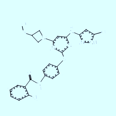 Cc1cc(Nc2cc(N3CC(OC(C)C)C3)nc(Sc3ccc(NC(=O)c4ccccc4Cl)cc3)n2)n[nH]1